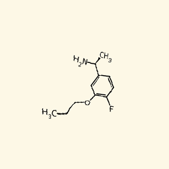 CCCOc1cc([C@H](C)N)ccc1F